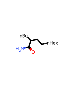 CCCCCCCCC(CCCC)C(N)=O